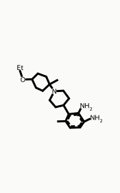 CCOC1CCC(C)(N2CCC(c3c(C)ccc(N)c3N)CC2)CC1